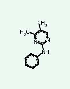 Cc1cnc(Nc2ccccc2)nc1C